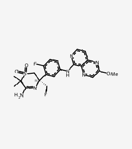 COc1cnc2c(Nc3ccc(F)c([C@]4(CF)CS(=O)(=O)C(C)(C)C(N)=N4)c3)nccc2n1